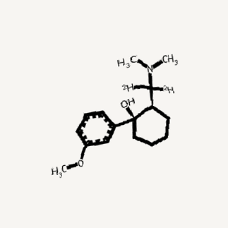 [2H]C([2H])([C@H]1CCCC[C@]1(O)c1cccc(OC)c1)N(C)C